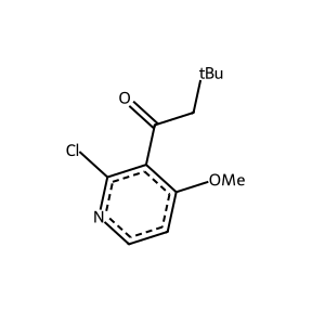 COc1ccnc(Cl)c1C(=O)CC(C)(C)C